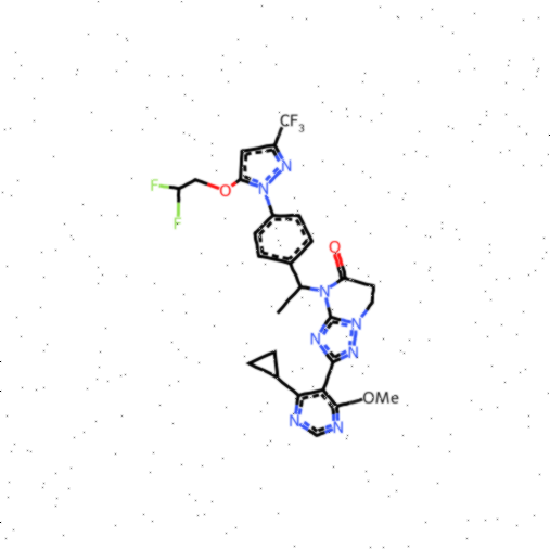 COc1ncnc(C2CC2)c1-c1nc2n(n1)CCC(=O)N2C(C)c1ccc(-n2nc(C(F)(F)F)cc2OCC(F)F)cc1